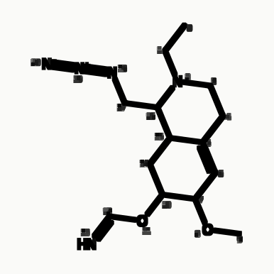 CCN1CCC2=CC(OC)C(OC=N)CC2C1CN=[N+]=[N-]